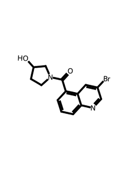 O=C(c1cccc2ncc(Br)cc12)N1CCC(O)C1